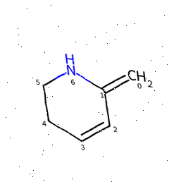 C=C1C=CCCN1